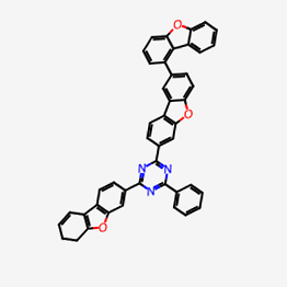 C1=Cc2c(oc3cc(-c4nc(-c5ccccc5)nc(-c5ccc6c(c5)oc5ccc(-c7cccc8oc9ccccc9c78)cc56)n4)ccc23)CC1